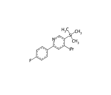 CC(C)c1cc(-c2ccc(F)cc2)ncc1[Si](C)(C)C